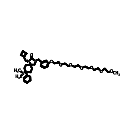 COCCOCCOCCOCCOCCOCCOc1cccc(CN2CC3(CCC(c4ccccc4)(N(C)C)CC3)N(CC3CCC3)C2=O)c1